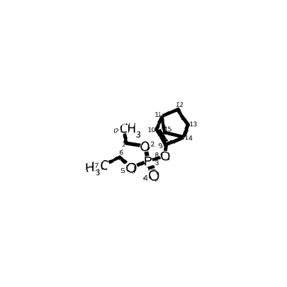 CCOP(=O)(OCC)OC1=CC2CCC1C2